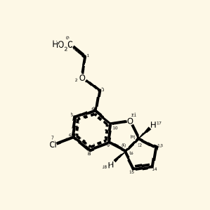 O=C(O)COCc1cc(Cl)cc2c1O[C@@H]1CC=C[C@H]21